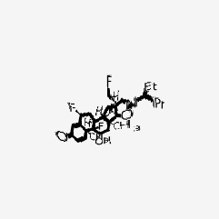 CCC(C(C)C)N1C[C@@H]2C[C@H]3[C@@H]4C[C@H](F)C5=CC(=O)C=C[C@]5(C)[C@@]4(F)[C@@H](O)C[C@]3(C)[C@]2(C(=O)SCF)O1